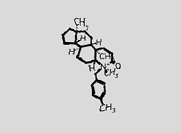 Cc1ccc(C[N+]2(C)C(=O)C=C[C@@]3(C)[C@H]2CC[C@H]2[C@@H]4CCC[C@@]4(C)CC[C@@H]23)cc1